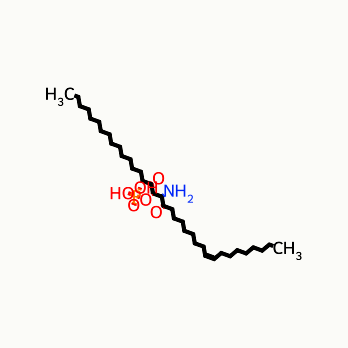 CCCCCCCC/C=C\CCCCCCCC(=O)C(N)C(OP(=O)(O)O)C(=O)CCCCCCCCCCCCCCC